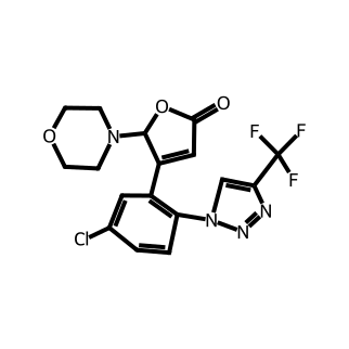 O=C1C=C(c2cc(Cl)ccc2-n2cc(C(F)(F)F)nn2)C(N2CCOCC2)O1